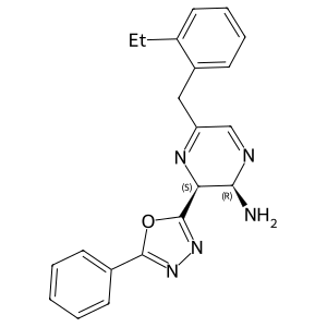 CCc1ccccc1CC1=N[C@H](c2nnc(-c3ccccc3)o2)[C@H](N)N=C1